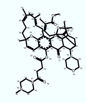 COC(=O)/C(C)=C\CC12OC(C)(C)C3CC(C1=O)C(N1CCOCC1)C1C(=O)c4c(OC(=O)CCC(=O)N5CCN(C)CC5)c5c(c(CC=C(C)C)c4OC132)OC(C)(CCC=C(C)C)C=C5